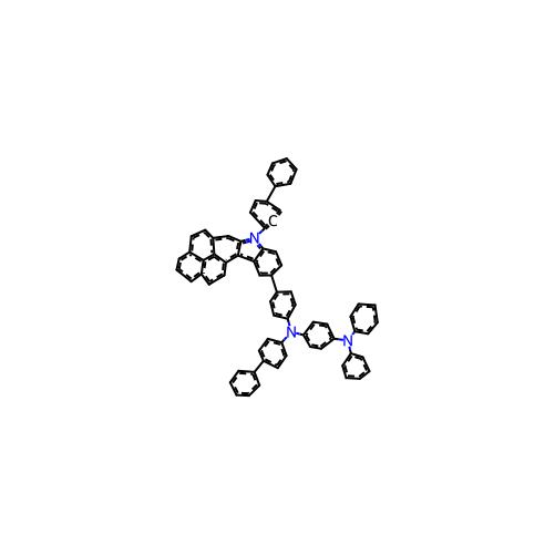 c1ccc(-c2ccc(N(c3ccc(-c4ccc5c(c4)c4c6ccc7cccc8ccc(cc4n5-c4ccc(-c5ccccc5)cc4)c6c87)cc3)c3ccc(N(c4ccccc4)c4ccccc4)cc3)cc2)cc1